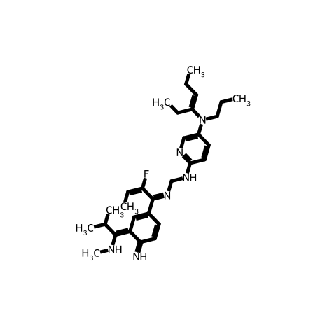 C/C=C(F)\C(=N/CNc1ccc(N(CCC)/C(=C/CC)CC)cn1)C1=C/C(=C(/NC)C(C)C)C(=N)C=C1